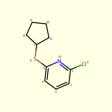 Clc1cccc(SC2CCCC2)n1